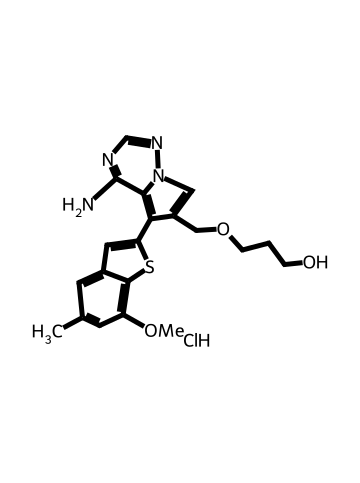 COc1cc(C)cc2cc(-c3c(COCCCO)cn4ncnc(N)c34)sc12.Cl